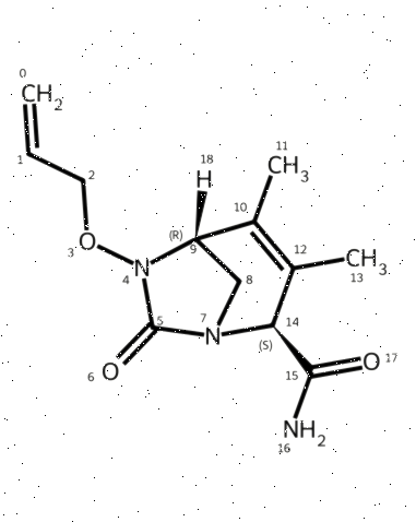 C=CCON1C(=O)N2C[C@H]1C(C)=C(C)[C@H]2C(N)=O